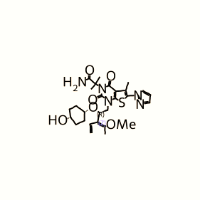 C=C/C(=C(\C)OC)[C@H](Cn1c(=O)n(C(C)(C)C(N)=O)c(=O)c2c(C)c(-n3cccn3)sc21)O[C@H]1CC[C@@H](O)CC1